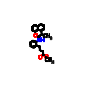 COC(=O)CCCc1ccccc1NC(=O)C(C)c1cccc2ccccc12